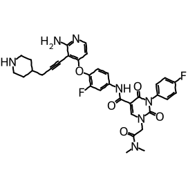 CN(C)C(=O)Cn1cc(C(=O)Nc2ccc(Oc3ccnc(N)c3C#CCC3CCNCC3)c(F)c2)c(=O)n(-c2ccc(F)cc2)c1=O